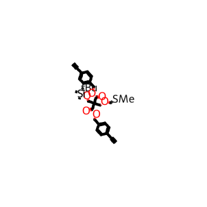 C#Cc1ccc(COC(=O)C(COCSC)(CO[Si](C)(C)C(C)(C)C)C(=O)OCc2ccc(C#C)cc2)cc1